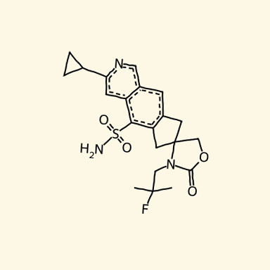 CC(C)(F)CN1C(=O)OCC12Cc1cc3cnc(C4CC4)cc3c(S(N)(=O)=O)c1C2